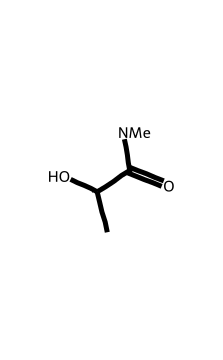 CNC(=O)[C](C)O